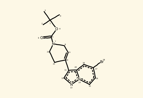 CC(C)(C)OC(=O)N1CC=C(c2cnn3ccc(Br)cc23)CC1